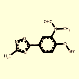 CCCOc1ccc(-c2nc(C)no2)cc1N(C)C=O